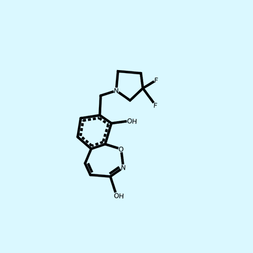 OC1=NOc2c(ccc(CN3CCC(F)(F)C3)c2O)C=C1